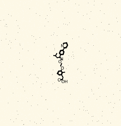 Cc1c(CC(=O)O)cccc1OCCO/N=C(\CC(C)C)c1ccc(-c2ccccn2)cc1